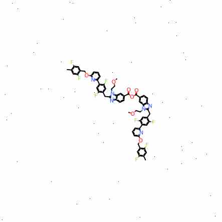 COCCn1c(Cc2cc(F)c(-c3cccc(OCc4cc(F)c(C)cc4F)n3)cc2F)nc2ccc(C(=O)OC(=O)c3ccc4nc(Cc5cc(F)c(-c6cccc(OCc7cc(F)c(C)cc7F)n6)cc5F)n(CCOC)c4c3)cc21